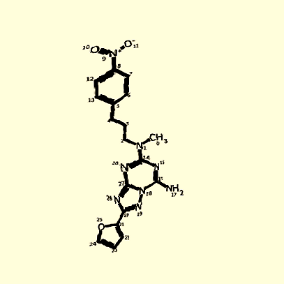 CN(CCCc1ccc([N+](=O)[O-])cc1)c1nc(N)n2nc(-c3ccco3)nc2n1